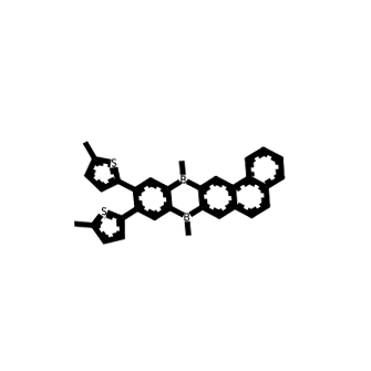 CB1c2cc(-c3ccc(C)s3)c(-c3ccc(C)s3)cc2B(C)c2cc3c(ccc4ccccc43)cc21